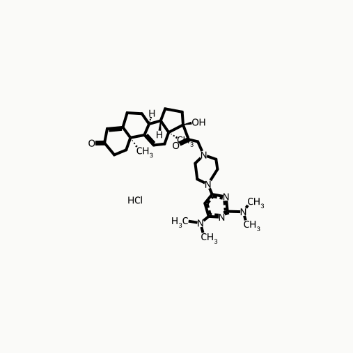 CN(C)c1cc(N2CCN(CC(=O)[C@@]3(O)CC[C@H]4[C@@H]5CCC6=CC(=O)CC[C@]6(C)C5=CC[C@@]43C)CC2)nc(N(C)C)n1.Cl